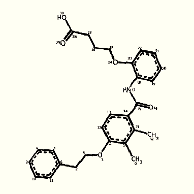 Cc1c(OCCc2ccccc2)ccc(C(=O)Nc2ccccc2OCCCC(=O)O)c1C